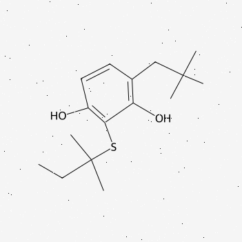 CCC(C)(C)Sc1c(O)ccc(CC(C)(C)C)c1O